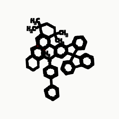 Cc1ccc2c(c1-c1cc3c(cc1N(c1ccc(-c4ccccc4)cc1)c1cccc4c1CCCC4)C1(c4ccccc4-c4ccccc41)c1ccccc1-3)C(C)(C)CCC2(C)C